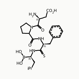 CC(C)C[C@H](NC(=S)[C@H](Cc1ccccc1)NC(=O)C1CCCN1C(=O)[C@@H](N)CC(=O)O)B(O)O